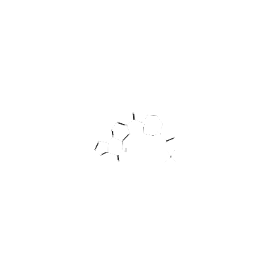 CC(C)(C)OC(=O)N1CCCN(C(=O)c2ccc3c(c2)[nH]c(=O)c2cccn23)CC1